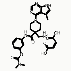 Cc1c[nH]c2ncnc(N3CCC(CN)(C(=O)Nc4cccc(OC(=O)N(C)C)c4)CC3)c12.O=C(O)/C=C\C(=O)O